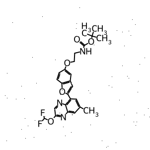 Cc1cc(-c2cc3cc(OCCNC(=O)OC(C)(C)C)ccc3o2)c2ncc(OC(F)F)nc2c1